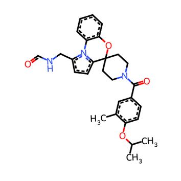 Cc1cc(C(=O)N2CCC3(CC2)Oc2ccccc2-n2c(CNC=O)ccc23)ccc1OC(C)C